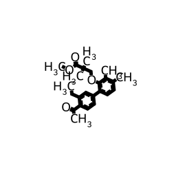 CCc1cc(-c2ccc(C)c(C)c2OCC(C)(C)C(=O)OC)ccc1C(C)=O